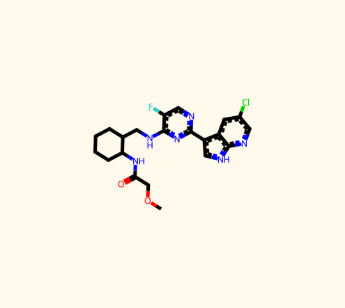 COCC(=O)NC1CCCCC1CNc1nc(-c2c[nH]c3ncc(Cl)cc23)ncc1F